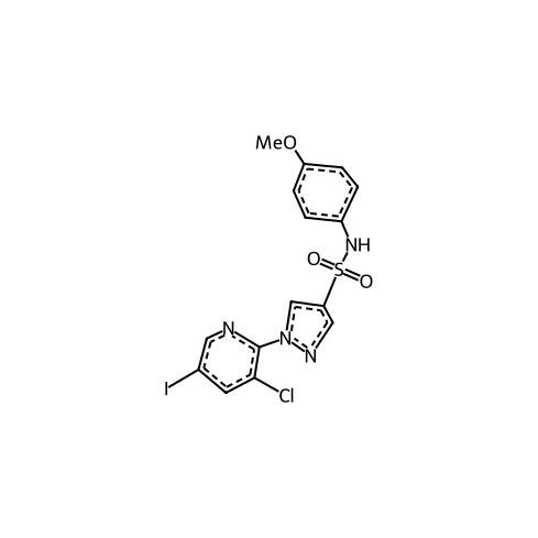 COc1ccc(NS(=O)(=O)c2cnn(-c3ncc(I)cc3Cl)c2)cc1